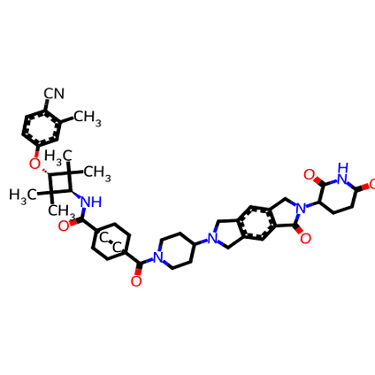 Cc1cc(O[C@H]2C(C)(C)[C@H](NC(=O)C34CCC(C(=O)N5CCC(N6Cc7cc8c(cc7C6)C(=O)N(C6CCC(=O)NC6=O)C8)CC5)(CC3)CC4)C2(C)C)ccc1C#N